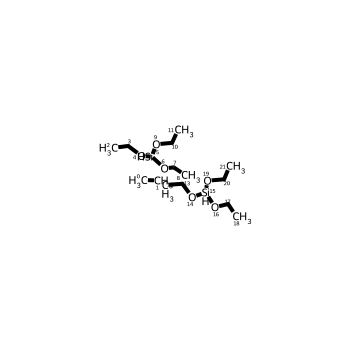 CC.CCO[SiH](OCC)OCC.CCO[SiH](OCC)OCC